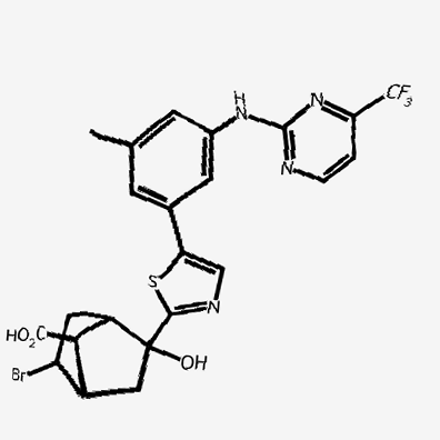 Cc1cc(Nc2nccc(C(F)(F)F)n2)cc(-c2cnc(C3(O)CC4C(Br)CC3C4C(=O)O)s2)c1